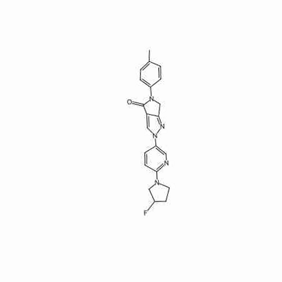 Cc1ccc(N2Cc3nn(-c4ccc(N5CCC(F)C5)nc4)cc3C2=O)cc1